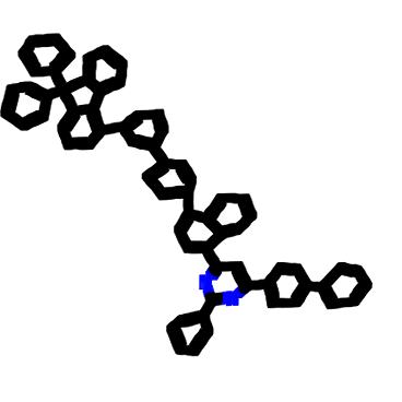 c1ccc(-c2ccc(-c3cc(-c4ccc(-c5ccc(-c6cccc(-c7cccc8c7-c7ccccc7C8(c7ccccc7)c7ccccc7)c6)cc5)c5ccccc45)nc(-c4ccccc4)n3)cc2)cc1